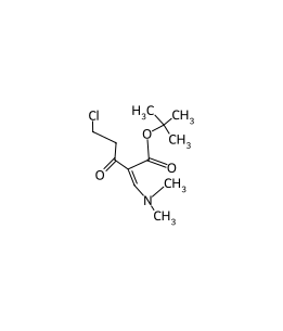 CN(C)C=C(C(=O)CCCl)C(=O)OC(C)(C)C